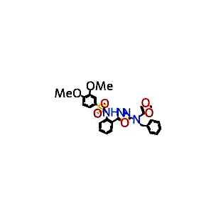 COc1ccc(S(=O)(=O)Nc2ccccc2-c2nnc(N(Cc3ccccc3)C3=COCO3)o2)cc1OC